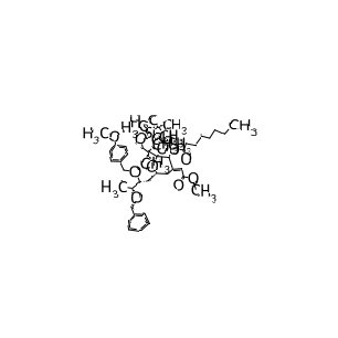 CCCCCCCC(=O)O[C@H]1/C(=C/C(=O)OC)C[C@@H](C[C@@H](OCc2ccc(OC)cc2)C(C)OCc2ccccc2)O[C@@]1(OC)C(C)(C)CO[Si](C)(C)C(C)(C)C